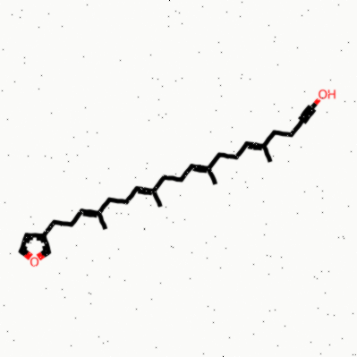 C/C(=C\CC/C(C)=C/CC/C(C)=C/CC/C(C)=C/CCc1ccoc1)CCC#CO